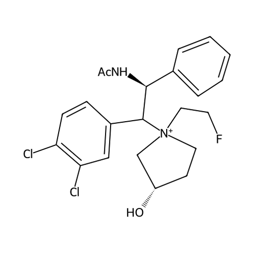 CC(=O)N[C@@H](c1ccccc1)C(c1ccc(Cl)c(Cl)c1)[N+]1(CCF)CC[C@H](O)C1